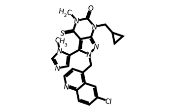 Cn1cncc1-c1c2c(=S)n(C)c(=O)n(CC3CC3)c2nn1Cc1ccnc2ccc(Cl)cc12